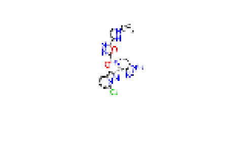 O=C(c1nnc(-c2ccn(C(F)(F)F)n2)o1)N1CCc2[nH]cnc2[C@@H]1c1cc2cccc(Cl)n2n1